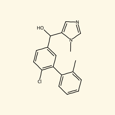 Cc1ccccc1-c1cc(C(O)c2cncn2C)ccc1Cl